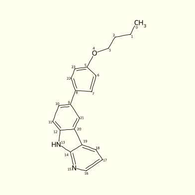 CCCCOc1ccc(-c2ccc3[nH]c4ncccc4c3c2)cc1